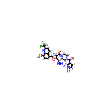 COc1ccc(-c2nc(C(=O)N3CCN(C(=O)c4cc[nH]c4)CC3)c(CN)o2)c2ccc(C(F)(F)F)nc12